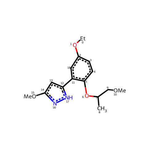 CCOc1ccc(OC(C)COC)c(-c2cc(OC)n[nH]2)c1